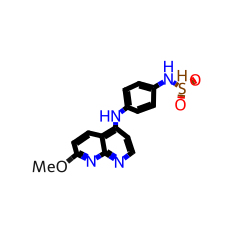 COc1ccc2c(Nc3ccc(N[SH](=O)=O)cc3)ccnc2n1